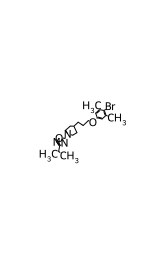 Cc1cc(OCCCC2CCN(c3nc(C(C)C)no3)CC2)cc(C)c1Br